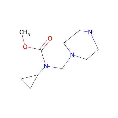 COC(=O)N(CN1CC[N]CC1)C1CC1